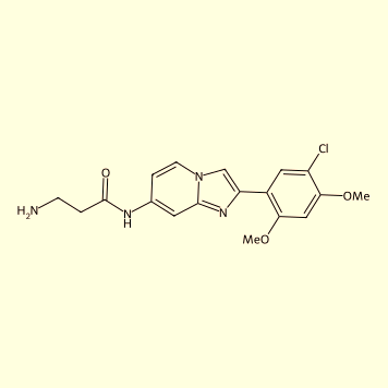 COc1cc(OC)c(-c2cn3ccc(NC(=O)CCN)cc3n2)cc1Cl